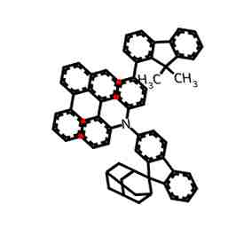 CC1(C)c2ccccc2-c2cccc(-c3ccc(N(c4ccc5c(c4)C4(c6ccccc6-5)C5CC6CC(C5)CC4C6)c4ccccc4-c4cccc5cccc(-c6ccccc6)c45)cc3)c21